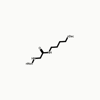 CCCCCCCCCCCCCCNC(=O)CNCCCCCCCCC